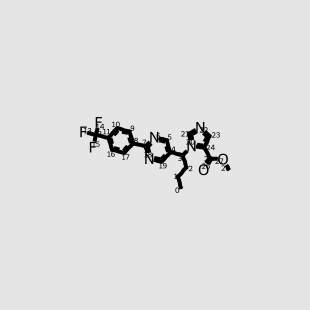 CCCC(c1cnc(-c2ccc(C(F)(F)F)cc2)nc1)n1cncc1C(=O)OC